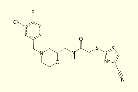 N#Cc1csc(SCC(=O)NC[C@H]2CN(Cc3ccc(F)c(Cl)c3)CCO2)n1